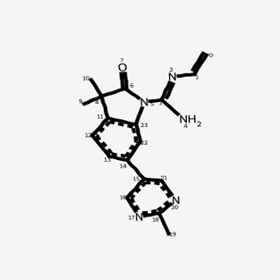 C=C/N=C(\N)N1C(=O)C(C)(C)c2ccc(-c3cnc(C)nc3)cc21